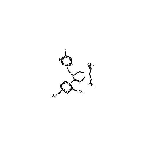 C=CCC=C.O=[N+]([O-])c1ccc(C2=NCCCN2Cc2ccc(Cl)nc2)c([N+](=O)[O-])c1